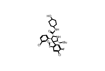 CC(C)(C)C[C@H]1N[C@@H](C(=O)NC2CCC(O)CC2)[C@H](c2cccc(Cl)c2)[C@@]12C(=O)Sc1cc(Cl)c(F)cc12